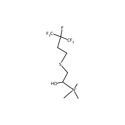 C[N+](C)(C)C(O)CSCCC(F)(C(F)(F)F)C(F)(F)F